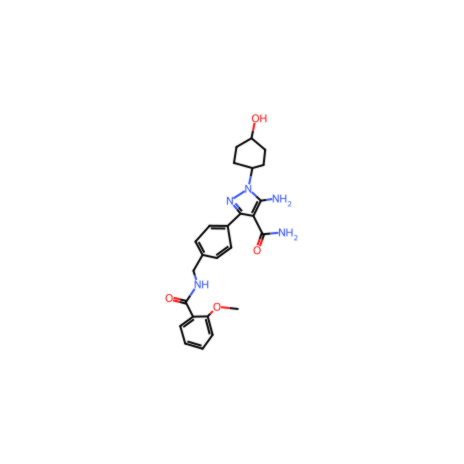 COc1ccccc1C(=O)NCc1ccc(-c2nn(C3CCC(O)CC3)c(N)c2C(N)=O)cc1